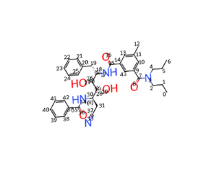 CCCN(CCC)C(=O)c1cc(C)cc(C(=O)N[C@@H](Cc2ccccc2)[C@@H](O)[C@H](O)[C@@H](CC#N)NC(=O)c2ccccc2)c1